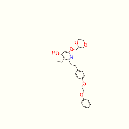 CCc1c(O)cc(OCC2COCCO2)nc1CCc1ccc(OCCOc2ccccc2)cc1